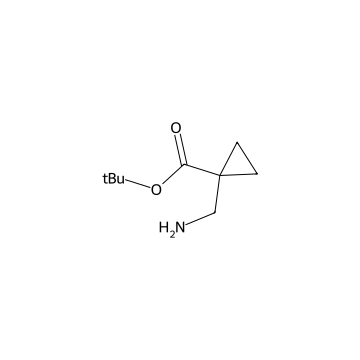 CC(C)(C)OC(=O)C1(CN)CC1